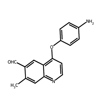 Cc1cc2nccc(Oc3ccc(N)cc3)c2cc1C=O